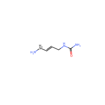 N[SiH2]C=CCNC(N)=O